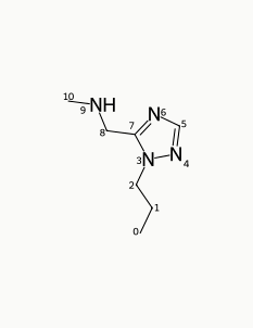 CCCn1ncnc1CNC